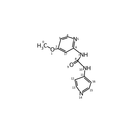 COc1ccnc(NC(=O)Nc2ccncc2)c1